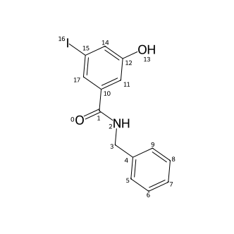 O=C(NCc1ccccc1)c1cc(O)cc(I)c1